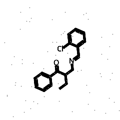 CCC(CN=Cc1ccccc1Cl)C(=O)c1ccccc1